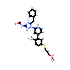 COCCCSc1ccc(C)c(-c2ccnc(N3N=C(NC=O)NC3Cc3ccccc3)c2)c1